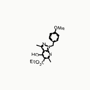 CCOC(=O)c1c(C)nc2c(c(C)nn2Cc2ccc(OC)cc2)c1O